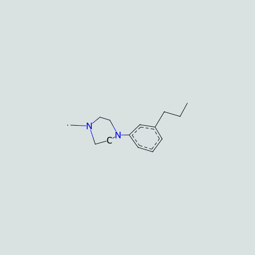 [CH2]N1CCN(c2cccc(CCC)c2)CC1